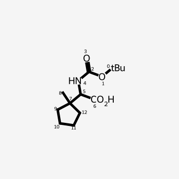 CC(C)(C)OC(=O)NC(C(=O)O)C1(C)CCCC1